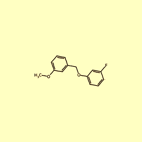 COc1cccc(COc2cc[c]c(F)c2)c1